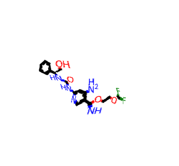 N=C(OCCOC(F)F)c1cnc(NC(=O)N[C@H](CO)c2ccccc2)cc1N